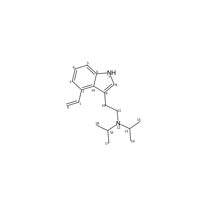 C=Cc1cccc2[nH]cc(CCN(C(C)C)C(C)C)c12